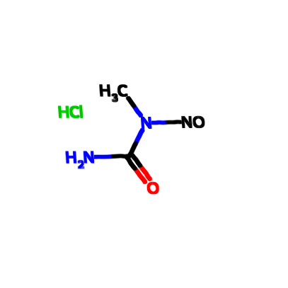 CN(N=O)C(N)=O.Cl